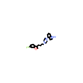 Fc1ccc2c(CCCCN3CCN(c4cccc5[nH]ccc45)CC3)coc2c1